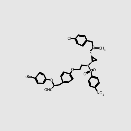 CN(Cc1ccc(Cl)cc1)C[C@@H]1C[C@H]1N(CCOc1ccc(C[C@@H](C=O)Oc2ccc(C(C)(C)C)cc2)cc1)S(=O)(=O)c1ccc([N+](=O)[O-])cc1